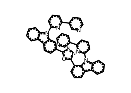 c1cncc(-c2cccc(-n3c4ccccc4c4ccc(-c5nnc(-c6cccc7c8ccccc8n(-c8cccc(-c9cccnc9)n8)c67)o5)cc43)n2)c1